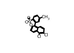 Cc1ccc(S([O])(=O)=O)c(-c2cccc3c(Cl)c(Cl)ccc23)c1